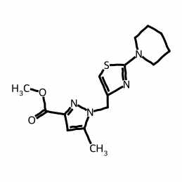 COC(=O)c1cc(C)n(Cc2csc(N3CCCCC3)n2)n1